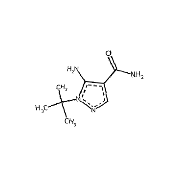 CC(C)(C)n1ncc(C(N)=O)c1N